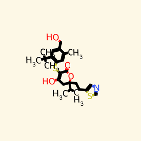 Cc1cc(SC2=C(O)CC(CCc3cncs3)(C(C)C)OC2=O)c(C(C)(C)C)cc1CO